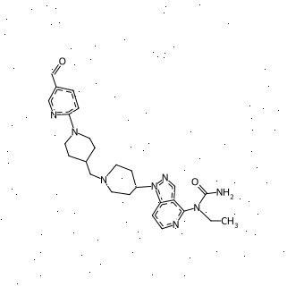 CCN(C(N)=O)c1nccc2c1cnn2C1CCN(CC2CCN(c3ccc(C=O)cn3)CC2)CC1